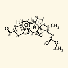 COC(=O)CC[C@@H](C)[C@H]1CC[C@H]2[C@@H]3CC[C@@H]4C[C@H](C=O)CC[C@]4(C)[C@H]3CC(=O)[C@]12C